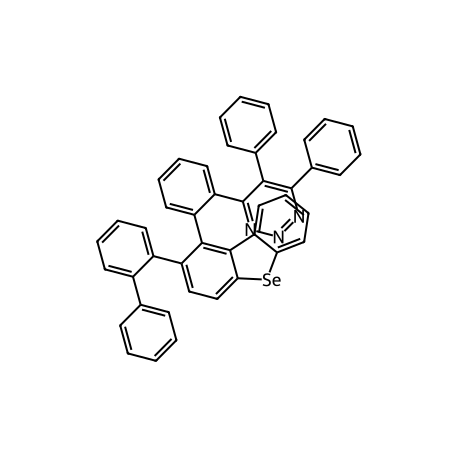 c1ccc(-c2ccccc2-c2ccc3[se]c4ccccc4c3c2-c2ccccc2-c2nnnc(-c3ccccc3)c2-c2ccccc2)cc1